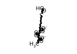 CC/C=C(/C/C=C(/C/C=C(/CCCCCCCCSCCC(=O)O)[N+](=O)[O-])[N+](=O)[O-])[N+](=O)[O-]